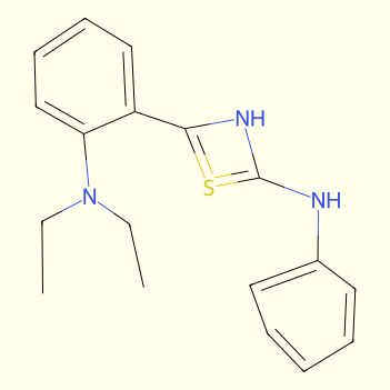 CCN(CC)c1ccccc1C1=S=C(Nc2ccccc2)N1